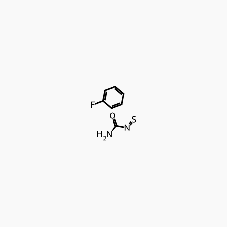 Fc1ccccc1.NC(=O)N=S